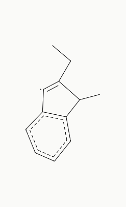 CCC1=[C]c2ccccc2C1C